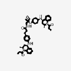 CCC(=O)N1c2ccccc2[C@H](Nc2ccc(CCC(=O)NCC3(NC4CCC(N[C@@H]5C[C@H](C)N(C(=O)CC)c6ccccc65)CC4)COC3)cc2)C[C@@H]1C